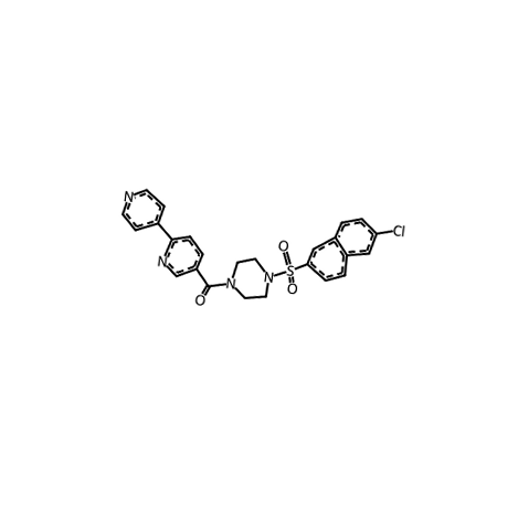 O=C(c1ccc(-c2ccncc2)nc1)N1CCN(S(=O)(=O)c2ccc3cc(Cl)ccc3c2)CC1